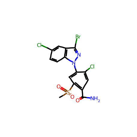 CS(=O)(=O)c1cc(-n2nc(Br)c3cc(Cl)ccc32)c(Cl)cc1C(N)=O